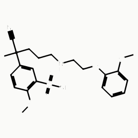 COc1ccccc1OCCNCCCC(C)(C#N)c1ccc(OC)c(S(N)(=O)=O)c1